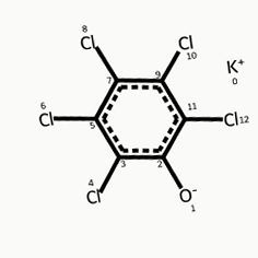 [K+].[O-]c1c(Cl)c(Cl)c(Cl)c(Cl)c1Cl